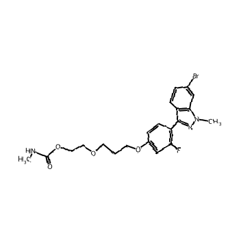 CNC(=O)OCCOCCCOc1ccc(-c2nn(C)c3cc(Br)ccc23)c(F)c1